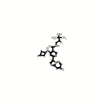 CC(C)(O)C(F)CNC(=O)c1cnc(-c2cnc3cc(Cl)cnn23)cc1NC1CC(F)C1